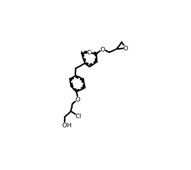 OCC(Cl)COc1ccc(Cc2ccc(OCC3CO3)cc2)cc1